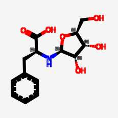 O=C(O)[C@H](Cc1ccccc1)N[C@H]1O[C@@H](CO)[C@H](O)[C@@H]1O